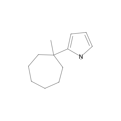 CC1(C2=CC=C[N]2)CCCCCC1